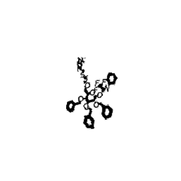 [N-]=[N+]=NCSSCOCC1O[C@@H](O/C(=N/c2ccccc2)C(F)(F)F)C(OCc2ccccc2)C(OCc2ccccc2)[C@H]1OCc1ccccc1